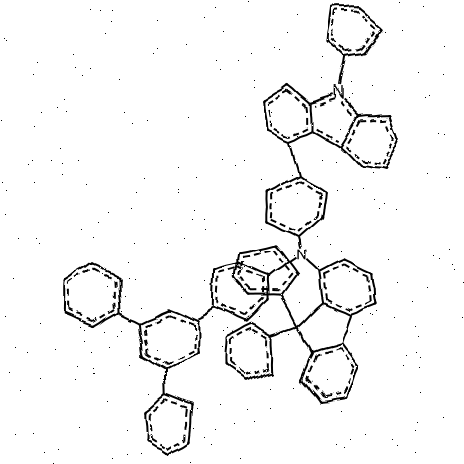 c1ccc(-c2cc(-c3ccccc3)cc(-c3ccc(N(c4ccc(-c5cccc6c5c5ccccc5n6-c5ccccc5)cc4)c4cccc5c4C(c4ccccc4)(c4ccccc4)c4ccccc4-5)cc3)c2)cc1